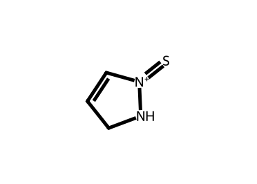 S=[N+]1C=CCN1